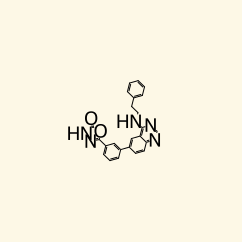 O=c1[nH]nc(-c2cccc(-c3ccc4ncnc(NCCc5ccccc5)c4c3)c2)o1